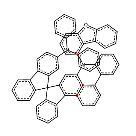 c1ccc(-c2ccccc2N(c2ccc3c(c2)C2(c4ccccc4-c4ccc(N(c5ccccc5)c5ccccc5)cc42)c2ccccc2-3)c2cccc3oc4ccccc4c23)cc1